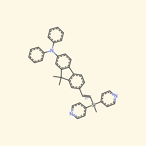 CC1(C)c2cc(/C=C/[Si](C)(c3ccncc3)c3ccncc3)ccc2-c2ccc(N(c3ccccc3)c3ccccc3)cc21